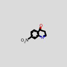 O=C1CC=Nc2cc([N+](=O)[O-])ccc21